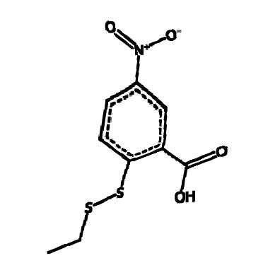 CCSSc1ccc([N+](=O)[O-])cc1C(=O)O